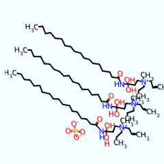 C=CC[N+](C)(CCC)CCC(O)(O)NC(=O)CCCCCCCCCCCCCCCCC.C=CC[N+](C)(CCC)CCC(O)(O)NC(=O)CCCCCCCCCCCCCCCCC.C=CC[N+](C)(CCC)CCC(O)(O)NC(=O)CCCCCCCCCCCCCCCCC.O=P([O-])([O-])[O-]